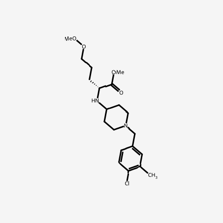 COOCCC[C@@H](NC1CCN(Cc2ccc(Cl)c(C)c2)CC1)C(=O)OC